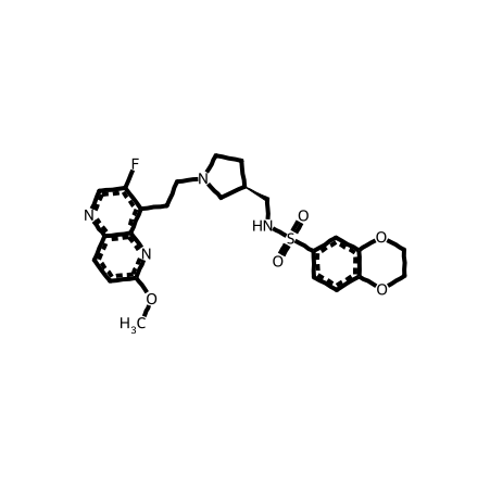 COc1ccc2ncc(F)c(CCN3CC[C@@H](CNS(=O)(=O)c4ccc5c(c4)OCCO5)C3)c2n1